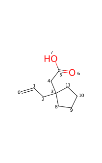 C=CCC1(CC(=O)O)CCCC1